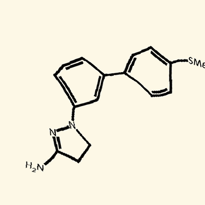 CSc1ccc(-c2cccc(N3CCC(N)=N3)c2)cc1